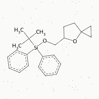 CC(C)(C)[Si](OCC1CCC2(CC2)O1)(c1ccccc1)c1ccccc1